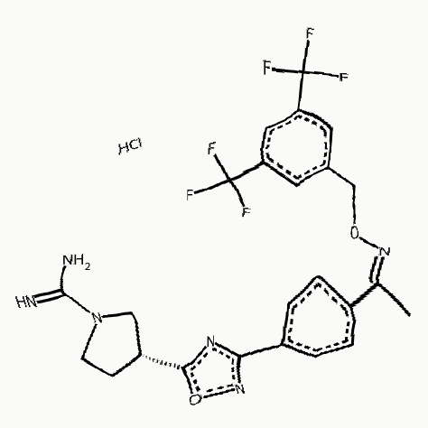 CC(=NOCc1cc(C(F)(F)F)cc(C(F)(F)F)c1)c1ccc(-c2noc([C@@H]3CCN(C(=N)N)C3)n2)cc1.Cl